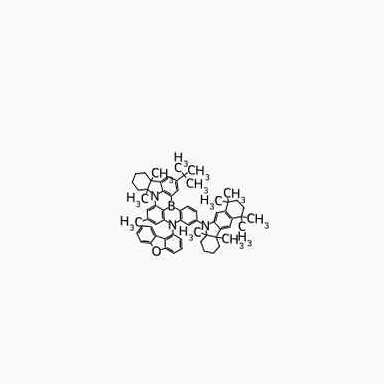 Cc1cc2c3c(c1)N1c4c(cc(C(C)(C)C)cc4C4(C)CCCCC14C)B3c1ccc(N3c4cc5c(cc4C4(C)CCCCC34C)C(C)(C)CCC5(C)C)cc1N2c1cccc2oc3ccccc3c12